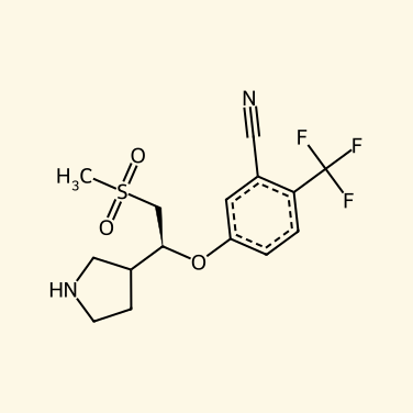 CS(=O)(=O)C[C@@H](Oc1ccc(C(F)(F)F)c(C#N)c1)C1CCNC1